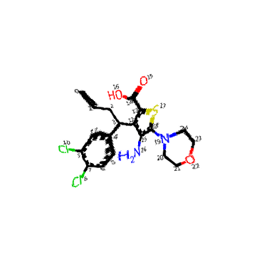 C=CCC(c1ccc(Cl)c(Cl)c1)c1c(C(=O)O)sc(N2CCOCC2)c1N